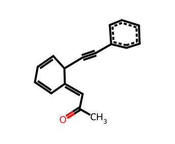 CC(=O)C=C1C=CC=CC1C#Cc1ccccc1